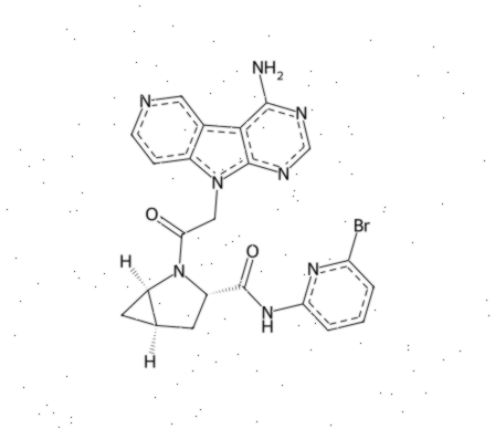 Nc1ncnc2c1c1cnccc1n2CC(=O)N1[C@@H]2C[C@@H]2C[C@H]1C(=O)Nc1cccc(Br)n1